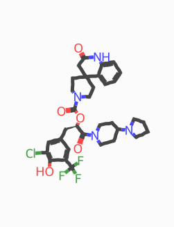 O=C1CC2(CCN(C(=O)O[C@H](Cc3cc(Cl)c(O)c(C(F)(F)F)c3)C(=O)N3CCC(N4CCCC4)CC3)CC2)c2ccccc2N1